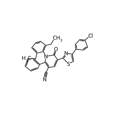 CCc1cccc(CC)c1-n1c(-c2ccccc2)c(C#N)cc(-c2nc(-c3ccc(Cl)cc3)cs2)c1=O